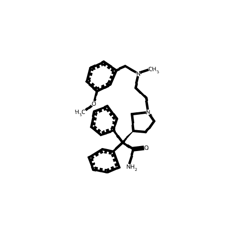 COc1cccc(CN(C)CCN2CC[C@@H](C(C(N)=O)(c3ccccc3)c3ccccc3)C2)c1